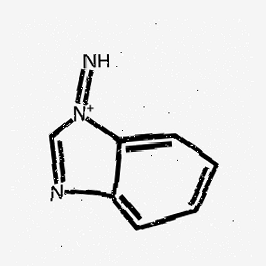 N=[N+]1C=Nc2ccccc21